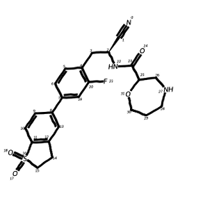 N#C[C@H](Cc1ccc(-c2ccc3c(c2)CCS3(=O)=O)cc1F)NC(=O)C1CNCCCO1